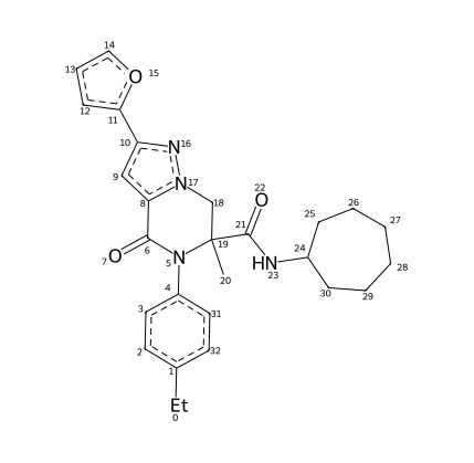 CCc1ccc(N2C(=O)c3cc(-c4ccco4)nn3CC2(C)C(=O)NC2CCCCCC2)cc1